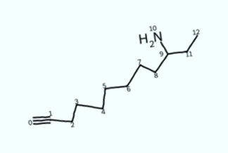 C#CCCCCCCCC(N)CC